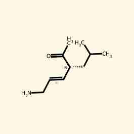 CC(=O)[C@@H](/C=C/CN)CC(C)C